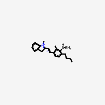 BBc1c(CCCC)ccc(/C=C/C2=[N+](C)c3ccccc3C2)c1C